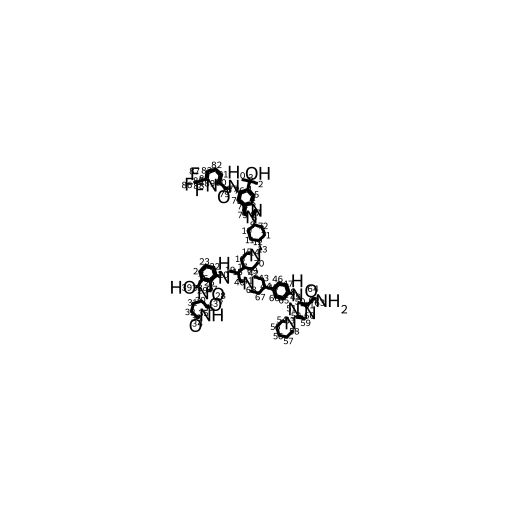 CC(C)(O)c1cc2nn([C@H]3CC[C@H](CN4CCC(C(CNc5cccc6c5C(=O)N(C5CCC(=O)NC5=O)C6O)CN5CCC(c6ccc(Nc7nc(N8CCCCC8)cnc7C(N)=O)cc6)CC5)CC4)CC3)cc2cc1NC(=O)c1cccc(C(F)(F)F)n1